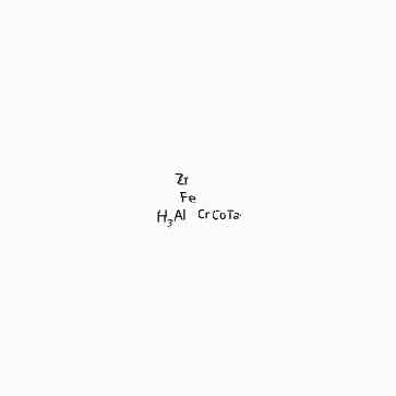 [AlH3].[Co].[Cr].[Fe].[Ta].[Zr]